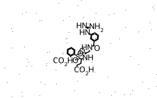 N=C(N)Nc1cccc(C(=O)NCC(=O)NC(CCC(=O)O)S(=O)(=O)c2ccccc2C(=O)O)c1